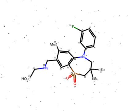 CCCCC1(CCCC)CN(c2cccc(F)c2)c2cc(SC)c(CNCC(=O)O)cc2S(=O)(=O)C1